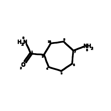 NC(=O)C1CCCC(N)CC1